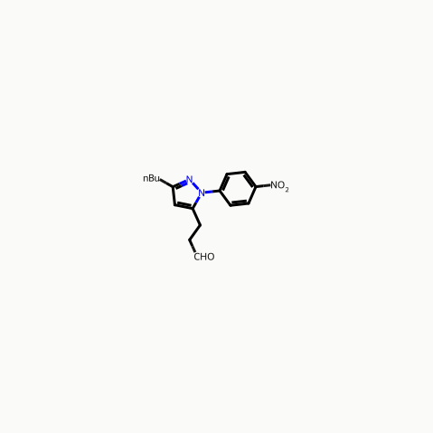 CCCCc1cc(CCC=O)n(-c2ccc([N+](=O)[O-])cc2)n1